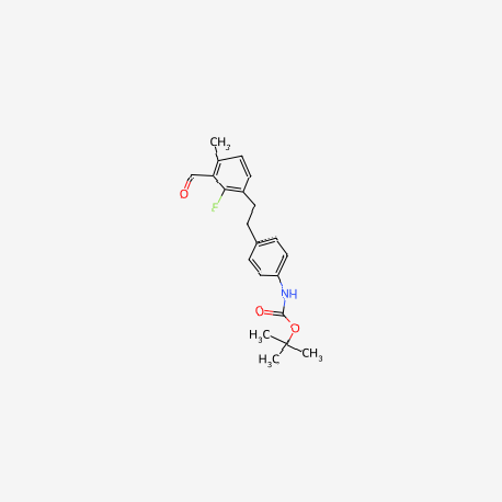 Cc1ccc(CCc2ccc(NC(=O)OC(C)(C)C)cc2)c(F)c1C=O